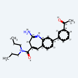 CCCN(CCC)C(=O)C1=Cc2ccc(-c3cccc(C(C)=O)c3)cc2N=C(N)C1